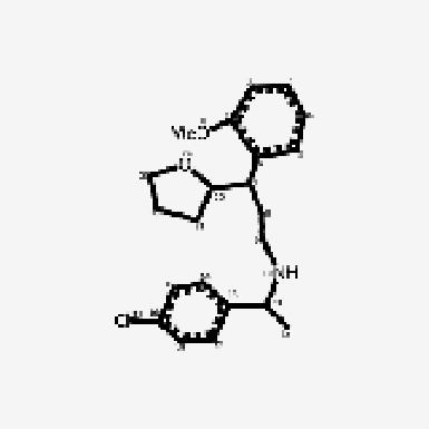 COc1ccccc1C(CCNC(C)c1ccc(Cl)cc1)C1CCCO1